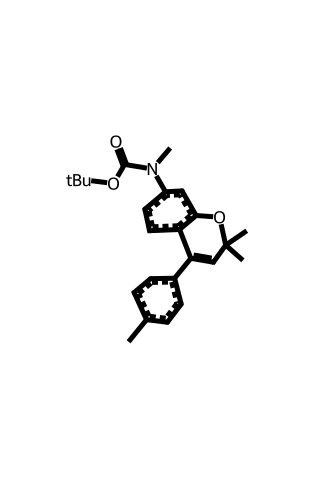 Cc1ccc(C2=CC(C)(C)Oc3cc(N(C)C(=O)OC(C)(C)C)ccc32)cc1